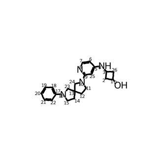 OC1CC(Nc2ccnc(N3CCC4(CCN(c5ccccc5)C4)C3)c2)C1